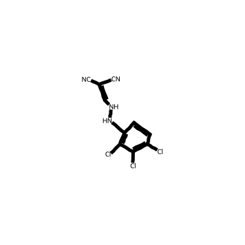 N#CC(C#N)=CNNc1ccc(Cl)c(Cl)c1Cl